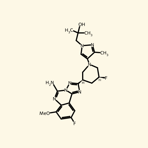 COc1cc(F)cc2c1nc(N)n1nc([C@@H]3C[C@H](F)CN(c4cn(CC(C)(C)O)nc4C)C3)nc21